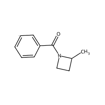 CC1CCN1C(=O)c1c[c]ccc1